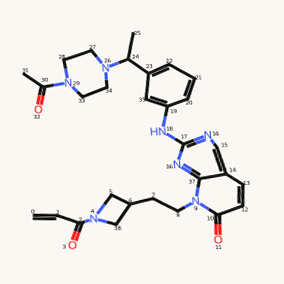 C=CC(=O)N1CC(CCn2c(=O)ccc3cnc(Nc4cccc(C(C)N5CCN(C(C)=O)CC5)c4)nc32)C1